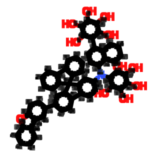 Oc1c(O)c(O)c(-c2ccc(N(c3ccc4c(c3)C3(c5ccccc5-c5ccccc53)c3cc(-c5ccc6oc7ccccc7c6c5)ccc3-4)c3c(O)c(O)c(O)c(O)c3O)c3ccccc23)c(O)c1O